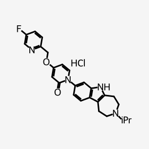 CC(C)N1CCc2[nH]c3cc(-n4ccc(OCc5ccc(F)cn5)cc4=O)ccc3c2CC1.Cl